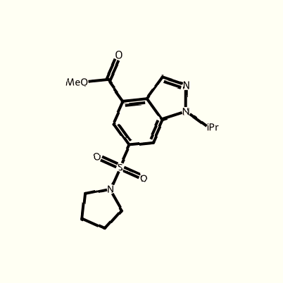 COC(=O)c1cc(S(=O)(=O)N2CCCC2)cc2c1cnn2C(C)C